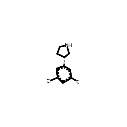 Clc1cc(Cl)cc([C@@H]2CCNC2)c1